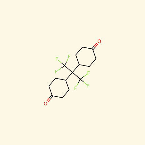 O=C1CCC(C(C2CCC(=O)CC2)(C(F)(F)F)C(F)(F)F)CC1